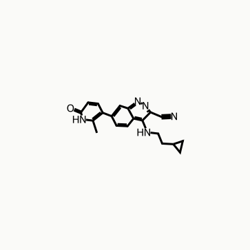 Cc1[nH]c(=O)ccc1-c1ccc2c(NCCC3CC3)c(C#N)nnc2c1